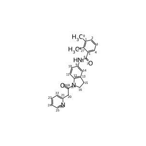 Cc1cccc(C(=O)Nc2ccc3c(c2)CCN3C(=O)Cc2ccccn2)c1C